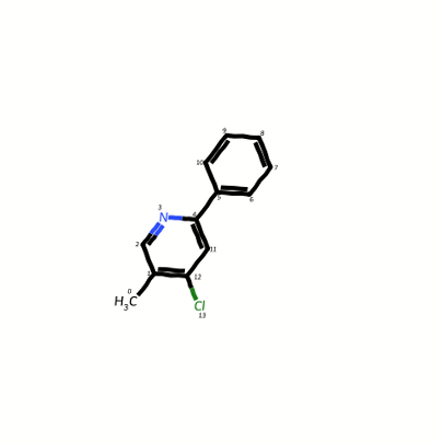 Cc1cnc(-c2ccccc2)cc1Cl